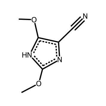 COc1nc(C#N)c(OC)[nH]1